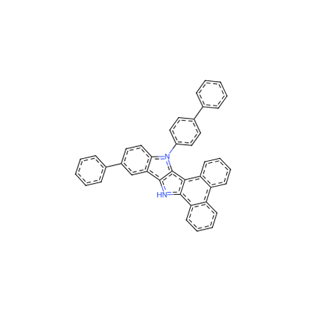 c1ccc(-c2ccc(-n3c4ccc(-c5ccccc5)cc4c4[nH]c5c6ccccc6c6ccccc6c5c43)cc2)cc1